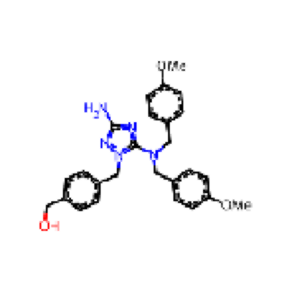 COc1ccc(CN(Cc2ccc(OC)cc2)c2nc(N)nn2Cc2ccc(CO)cc2)cc1